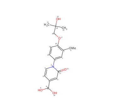 COc1cc(-n2ccc(B(O)O)cc2=O)ccc1OCC(C)(C)O